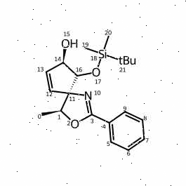 C[C@@H]1OC(c2ccccc2)=N[C@]12C=C[C@@H](O)C2O[Si](C)(C)C(C)(C)C